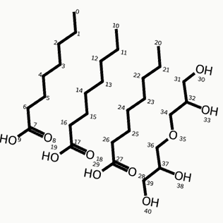 CCCCCCCC(=O)O.CCCCCCCC(=O)O.CCCCCCCC(=O)O.OCC(O)COCC(O)CO